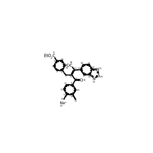 CCOC(=O)c1ccc(CC(C(=O)c2ccc(C)c(C)c2)=C(C(=O)[O-])c2ccc3nsnc3c2)cc1.[Na+]